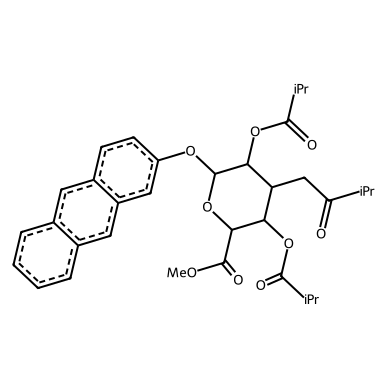 COC(=O)C1OC(Oc2ccc3cc4ccccc4cc3c2)C(OC(=O)C(C)C)C(CC(=O)C(C)C)C1OC(=O)C(C)C